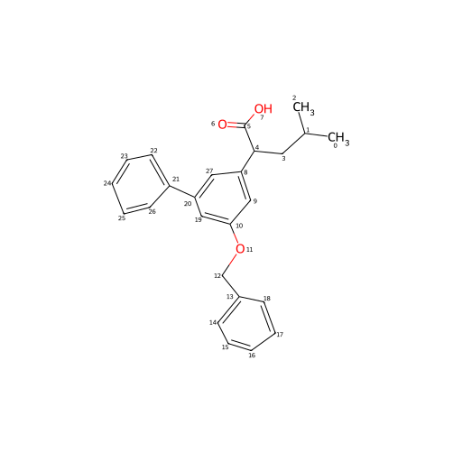 CC(C)CC(C(=O)O)c1cc(OCc2ccccc2)cc(-c2ccccc2)c1